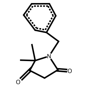 CC1(C)C(=O)CC(=O)N1Cc1ccccc1